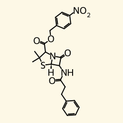 CC1(C)S[C@H]2C(NC(=O)CCc3ccccc3)C(=O)N2C1C(=O)OCc1ccc([N+](=O)[O-])cc1